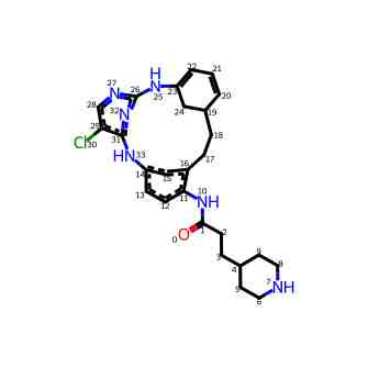 O=C(CCC1CCNCC1)Nc1ccc2cc1CCC1C=CC=C(C1)Nc1ncc(Cl)c(n1)N2